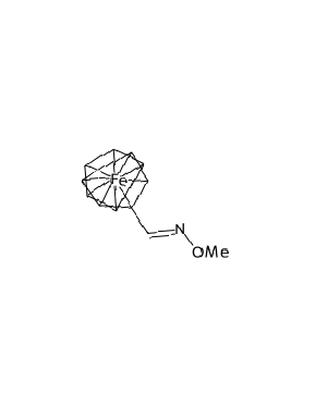 CON=C[C]12[CH]3[CH]4[CH]5[CH]1[Fe]45321678[CH]2[CH]1[CH]6[CH]7[CH]28